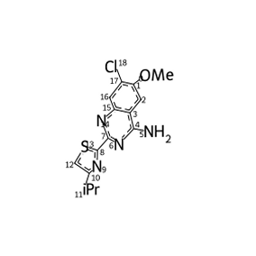 COc1cc2c(N)nc(-c3nc(C(C)C)cs3)nc2cc1Cl